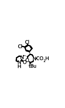 CC(C)(C)C1CN(C(=O)O)C[C@@H](c2ccc(Cl)c(Cl)c2)[C@@H](CN2CCCNC2=O)O1